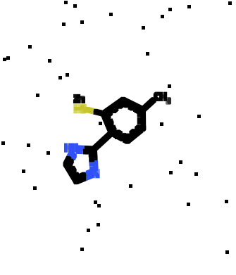 Cc1ccc(-c2ncc[nH]2)c(S)c1.[Zn]